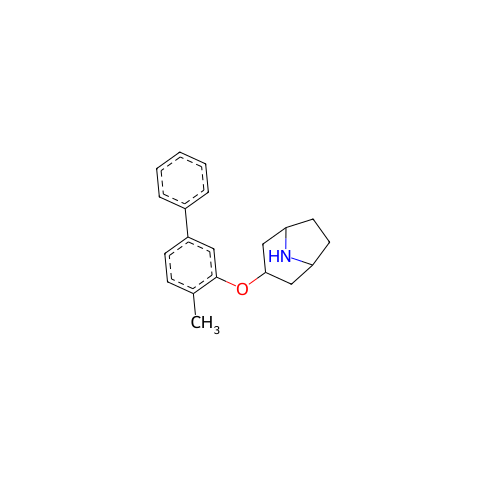 Cc1ccc(-c2ccccc2)cc1OC1CC2CCC(C1)N2